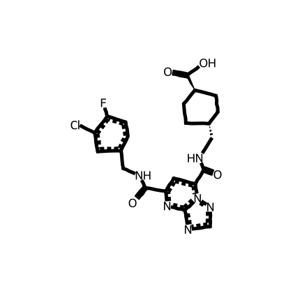 O=C(NCc1ccc(F)c(Cl)c1)c1cc(C(=O)NC[C@H]2CC[C@H](C(=O)O)CC2)n2ncnc2n1